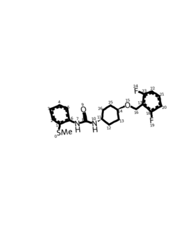 CSc1ccccc1NC(=O)N[C@H]1CC[C@H](OCc2c(F)cccc2F)CC1